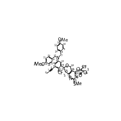 CC#Cc1cc(N(Cc2ccc(OC)cc2)Cc2ccc(OC)cc2)cc(C2Cc3nc(SC)nc(OS(=O)(=O)C(F)(F)F)c3CO2)c1C(F)(F)F